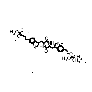 CC(C)(C)OCCc1ccc2c(c1)NCC2CC1NC(=O)C(CC2CNc3cc(CCC4OC4(C)C)ccc32)NC1=O